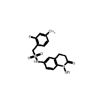 CCCN1C(=O)CCc2cc(NS(=O)(=O)Cc3ccc(C)cc3F)ccc21